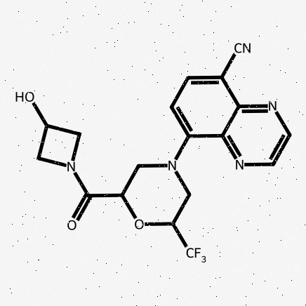 N#Cc1ccc(N2CC(C(=O)N3CC(O)C3)OC(C(F)(F)F)C2)c2nccnc12